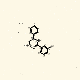 O=C(N[C@@H](CO)c1ccccc1)c1cccc(I)c1